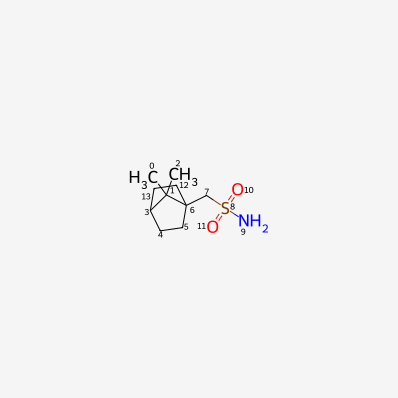 CC1(C)C2CCC1(CS(N)(=O)=O)CC2